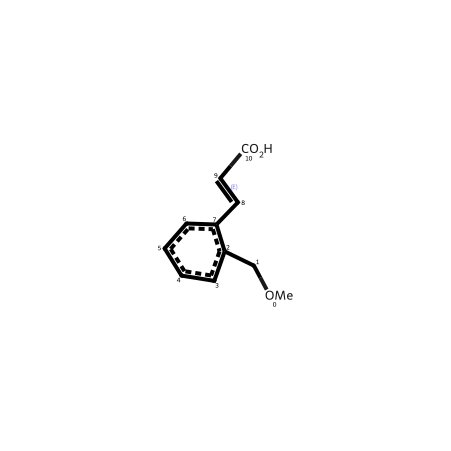 COCc1ccccc1/C=C/C(=O)O